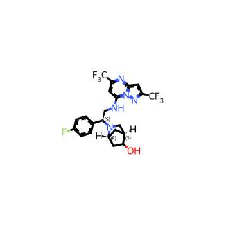 OC1C[C@H]2C[C@H]1CN2[C@H](CNc1cc(C(F)(F)F)nc2cc(C(F)(F)F)nn12)c1ccc(F)cc1